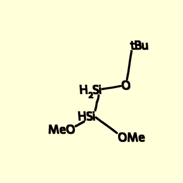 CO[SiH](OC)[SiH2]OC(C)(C)C